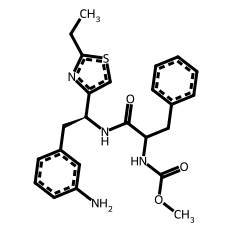 CCc1nc([C@H](Cc2cccc(N)c2)NC(=O)C(Cc2ccccc2)NC(=O)OC)cs1